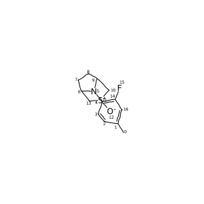 Cc1ccc(N2C3CCC2C[S+]([O-])C3)c(F)c1